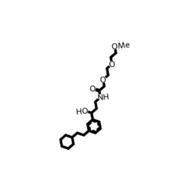 COCCOCCOCC(=O)NCCC(O)c1cccc(CCC2CCCCC2)c1